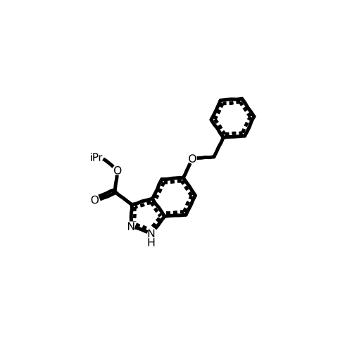 CC(C)OC(=O)c1n[nH]c2ccc(OCc3ccccc3)cc12